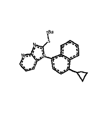 CCCCSc1nc2ncccc2n1-c1ccc(C2CC2)c2ccccc12